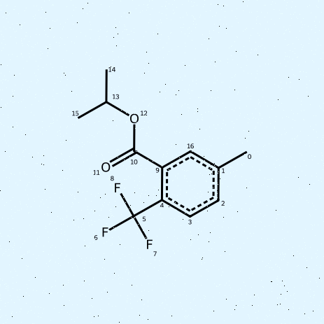 Cc1ccc(C(F)(F)F)c(C(=O)OC(C)C)c1